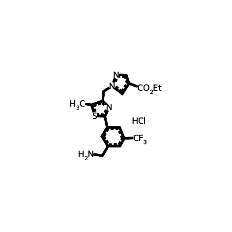 CCOC(=O)c1cnn(Cc2nc(-c3cc(CN)cc(C(F)(F)F)c3)sc2C)c1.Cl